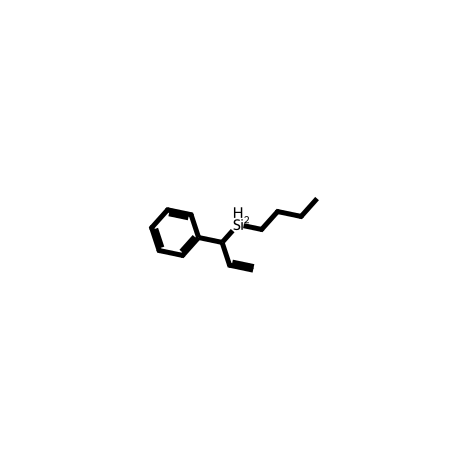 C=CC([SiH2]CCCC)c1ccccc1